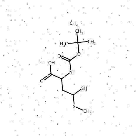 C.CSC(S)CC(NC(=O)OC(C)(C)C)C(=O)O